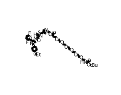 CCO[C@H]1CC[C@H](n2cc(NC(=O)c3csc(-c4cnn(COC(=O)CCOCCOCCOCCOCCOCCOCCNC(=O)OC(C)(C)C)c4)n3)c(-c3nc(F)ccc3F)n2)CC1